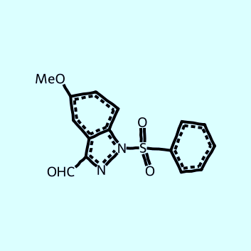 COc1ccc2c(c1)c(C=O)nn2S(=O)(=O)c1ccccc1